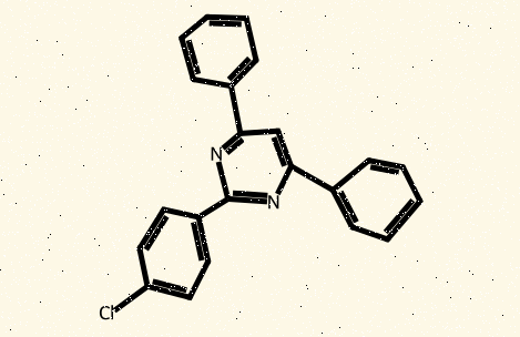 Clc1ccc(-c2nc(-c3ccccc3)cc(-c3ccccc3)n2)cc1